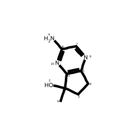 CC1(O)CCc2ncc(N)nc21